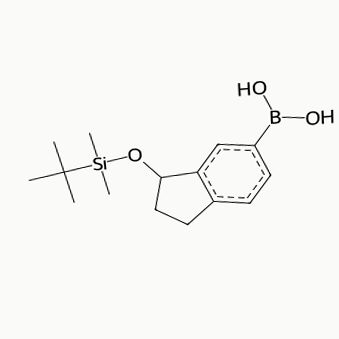 CC(C)(C)[Si](C)(C)OC1CCc2ccc(B(O)O)cc21